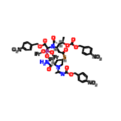 CC(=NC(=O)OCc1ccc([N+](=O)[O-])cc1)N1C[C@@H](SC(=O)C[C@@H]2[C@@H]([C@@H](C)OC(=O)OCc3ccc([N+](=O)[O-])cc3)C(=O)N2C(C(=O)OCc2ccc([N+](=O)[O-])cc2)=P(OC(C)C)(OC(C)C)OC(C)C)C[C@H]1C(N)=O